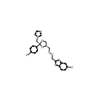 Clc1ccc([C@]2(Cn3ccnc3)OC[C@@H](COOCc3nc4ccc(Cl)cc4s3)O2)cc1